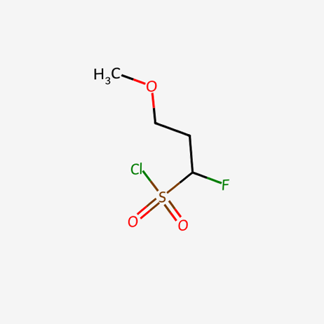 COCCC(F)S(=O)(=O)Cl